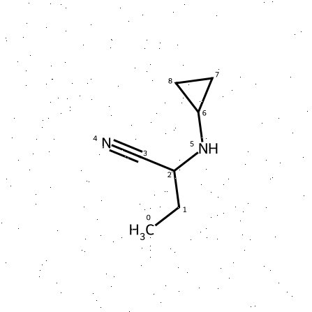 CCC(C#N)NC1CC1